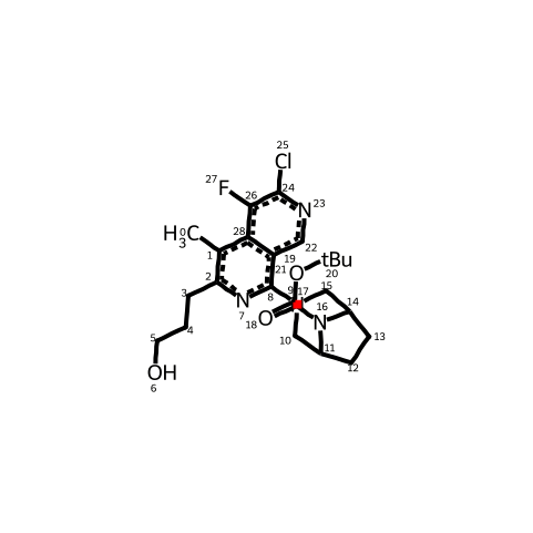 Cc1c(CCCO)nc(N2CC3CCC(C2)N3C(=O)OC(C)(C)C)c2cnc(Cl)c(F)c12